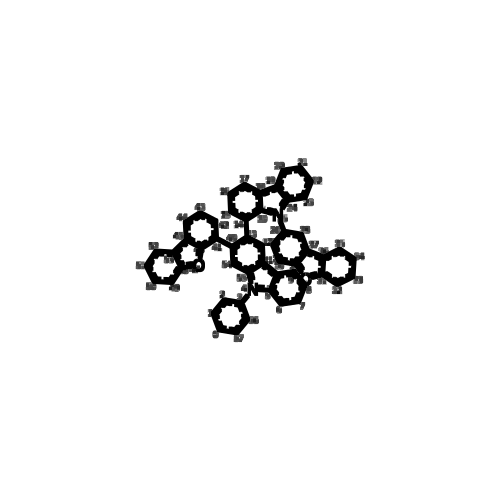 c1ccc(-n2c3ccccc3c3cc(-c4cccc5c6ccccc6n(-c6ccc7oc8ccccc8c7c6)c45)c(-c4cccc5c4oc4ccccc45)cc32)cc1